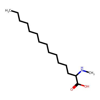 CCCCCCCCCCCCCC(NC)C(=O)O